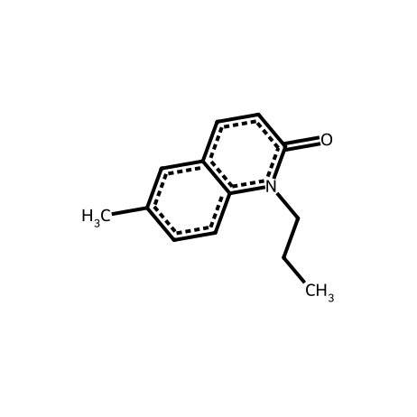 CCCn1c(=O)ccc2cc(C)ccc21